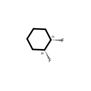 F[C@@H]1CCCC[C@@H]1F